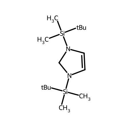 CC(C)(C)[Si](C)(C)N1C=CN([Si](C)(C)C(C)(C)C)C1